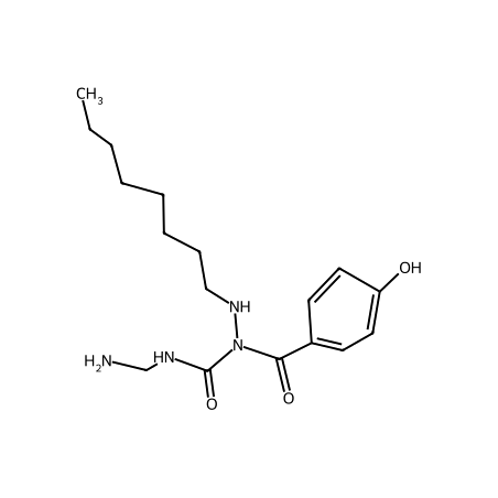 CCCCCCCCNN(C(=O)NCN)C(=O)c1ccc(O)cc1